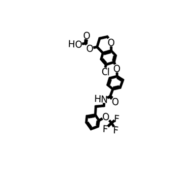 O=C(O)OC1CCOc2cc(Oc3ccc(C(=O)NCCc4ccccc4OC(F)(F)F)cc3)c(Cl)cc21